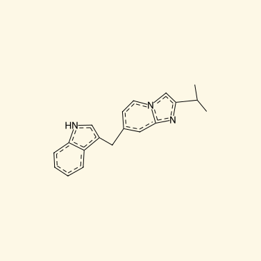 CC(C)c1cn2ccc(Cc3c[nH]c4ccccc34)cc2n1